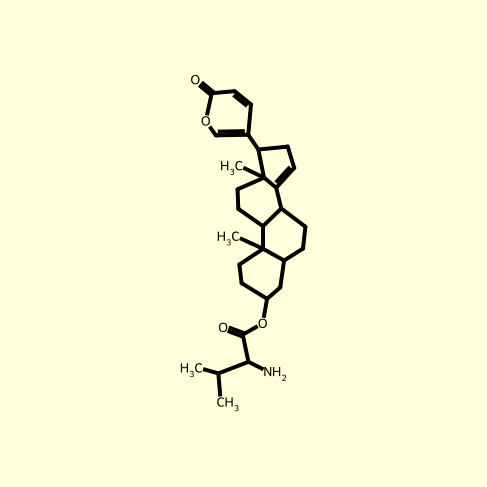 CC(C)C(N)C(=O)OC1CCC2(C)C(CCC3C4=CCC(c5ccc(=O)oc5)C4(C)CCC32)C1